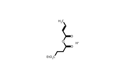 CC=CC(=O)OC(=O)CCC(=O)OCC.[H+]